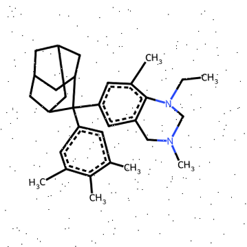 CCN1CN(C)Cc2cc(C3(c4cc(C)c(C)c(C)c4)C4CC5CC(C4)CC3C5)cc(C)c21